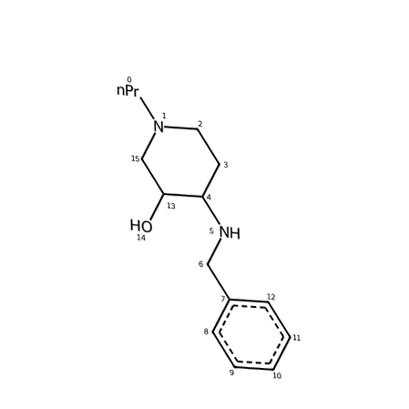 CCCN1CCC(NCc2ccccc2)C(O)C1